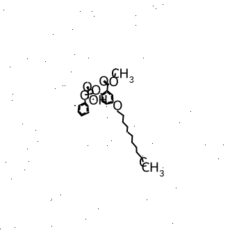 CCCCCCCCCCCCOc1ccc(OP(=O)(O)Oc2[c]cccc2)c(C(=O)OC)c1